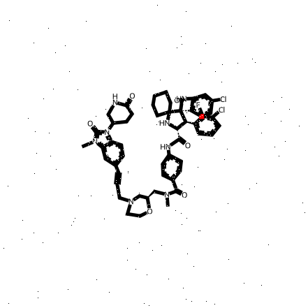 CN(C[C@@H]1CN(CC#Cc2ccc3c(c2)n(C)c(=O)n3C2CCC(=O)NC2)CCO1)C(=O)c1ccc(NC(=O)[C@@H]2NC3(CCCCC3)[C@@]3(C(=O)Nc4cc(Cl)ccc43)[C@H]2c2cccc(Cl)c2F)cc1